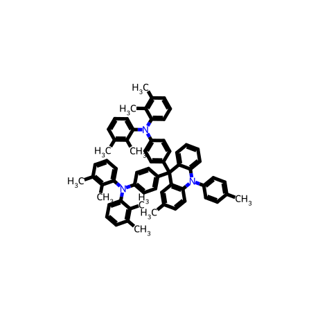 Cc1ccc(N2c3ccccc3C(c3ccc(N(c4cccc(C)c4C)c4cccc(C)c4C)cc3)(c3ccc(N(c4cccc(C)c4C)c4cccc(C)c4C)cc3)c3cc(C)ccc32)cc1